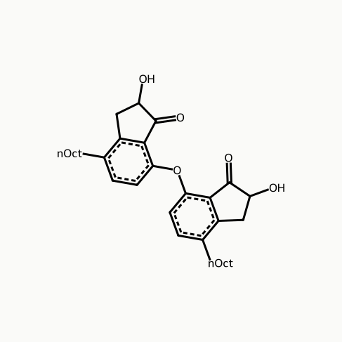 CCCCCCCCc1ccc(Oc2ccc(CCCCCCCC)c3c2C(=O)C(O)C3)c2c1CC(O)C2=O